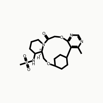 Cc1ncnc2c1C1CCC(CC1)OC[C@H]1C(NS(C)(=O)=O)CCCN1C(=O)CO2